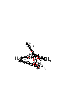 COCCOCCOCCOCCNc1ccc(S(=O)(=O)OC)cc1C(C)(C/C=C/C=C/C=C1/N(CCOCCOCCOCCCOCC=O)c2ccc(S(=O)(=O)OC)cc2C1(C)CCOCCOCCOCCOC)CCOCCOCCOCCOC